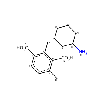 Cc1ccc(C(=O)O)c(C)c1C(=O)O.NC1CCCCC1